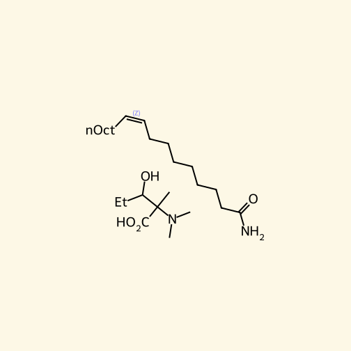 CCC(O)C(C)(C(=O)O)N(C)C.CCCCCCCC/C=C\CCCCCCCC(N)=O